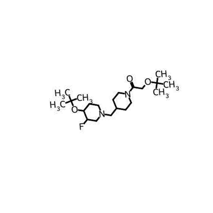 CC(C)(C)OCC(=O)N1CCC(CN2CCC(OC(C)(C)C)C(F)C2)CC1